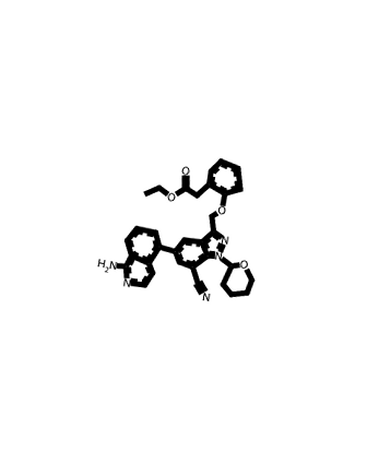 CCOC(=O)Cc1ccccc1OCc1nn(C2CCCCO2)c2c(C#N)cc(-c3cccc4c(N)nccc34)cc12